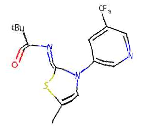 Cc1cn(-c2cncc(C(F)(F)F)c2)c(=NC(=O)C(C)(C)C)s1